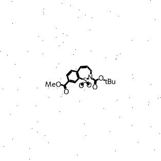 COC(=O)c1ccc2c(c1)S(=O)(=O)N(C(=O)OC(C)(C)C)CC=C2